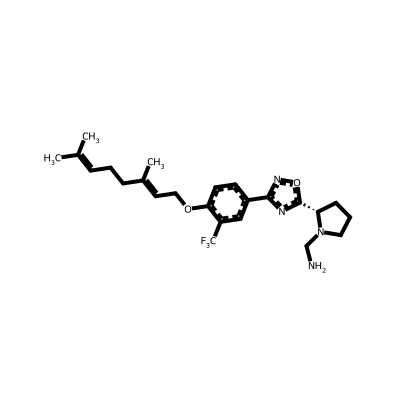 CC(C)=CCC/C(C)=C/COc1ccc(-c2noc([C@@H]3CCCN3CN)n2)cc1C(F)(F)F